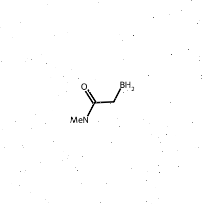 BCC(=O)NC